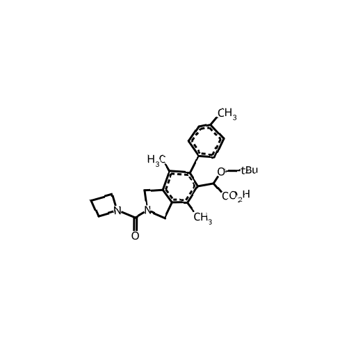 Cc1ccc(-c2c(C)c3c(c(C)c2C(OC(C)(C)C)C(=O)O)CN(C(=O)N2CCC2)C3)cc1